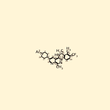 CC(=O)N1CCC(c2cnc3c(C)nnc(N[C@H](C)c4cccc(C(F)(F)F)c4C)c3c2)CC1